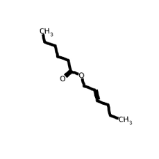 CCCC=CCOC(=O)CCCCC